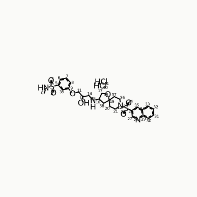 CNS(=O)(=O)c1cccc(OCC(O)CNC2COC3(CCN(S(=O)(=O)c4cnc5ccccc5c4)CC3)C2)c1.Cl.Cl